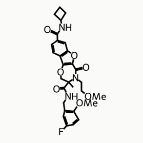 COCCN1C(=O)c2oc3cc(C(=O)NC4CCC4)ccc3c2OCC1(C)C(=O)NCc1cc(F)ccc1OC